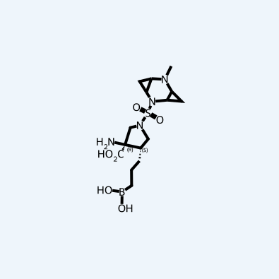 CN1C2CC2N(S(=O)(=O)N2C[C@H](CCCB(O)O)[C@](N)(C(=O)O)C2)C2CC21